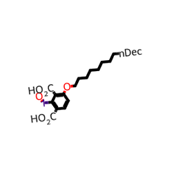 CCCCCCCCCCCCCCCCCCOc1ccc(C(=O)O)c(I=O)c1C(=O)O